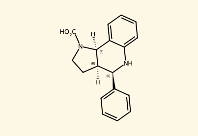 O=C(O)N1CC[C@@H]2[C@H](c3ccccc3)Nc3ccccc3[C@@H]21